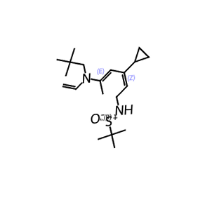 C=CN(CC(C)(C)C)/C(C)=C/C(=C\CN[S@@+]([O-])C(C)(C)C)C1CC1